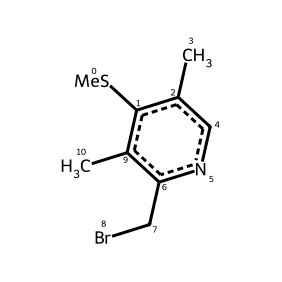 CSc1c(C)cnc(CBr)c1C